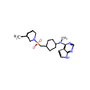 CC1CCCN(S(=O)(=O)CC2CCC(N(C)c3ncnc4[nH]ccc34)CC2)C1